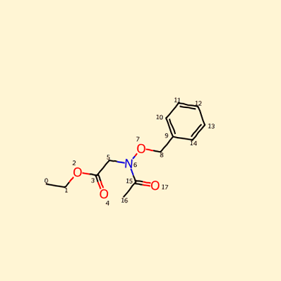 CCOC(=O)CN(OCc1ccccc1)C(C)=O